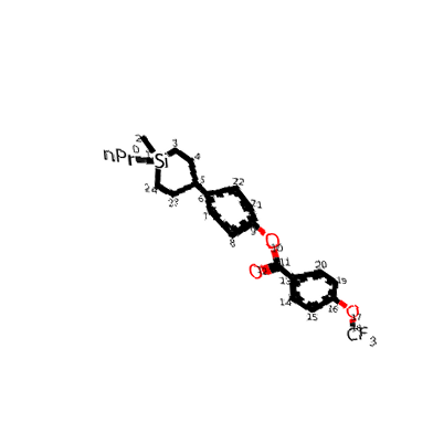 CCC[Si]1(C)CCC(c2ccc(OC(=O)c3ccc(OC(F)(F)F)cc3)cc2)CC1